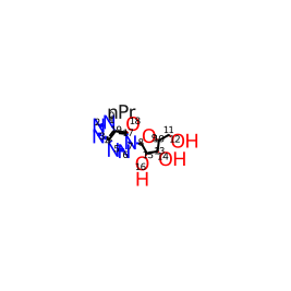 CCCn1nnc2nnn(C3OC(CO)C(O)C3O)c(=O)c21